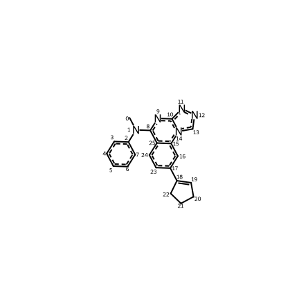 CN(c1ccccc1)c1nc2nncn2c2cc(C3=CCCC3)ccc12